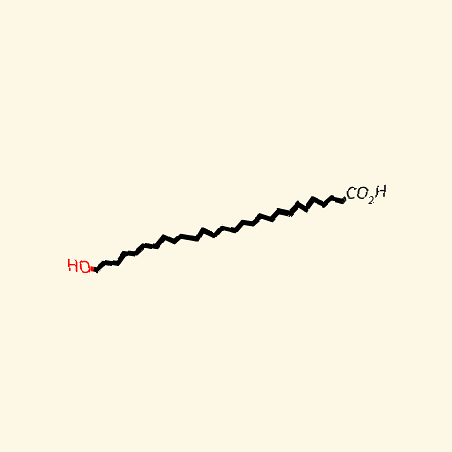 O=C(O)CCCCCCCCCCCCCCCCCCCCCCCCCCCO